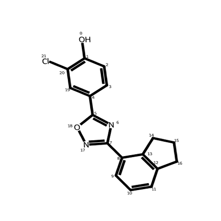 Oc1ccc(-c2nc(-c3cccc4c3CCC4)no2)cc1Cl